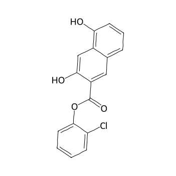 O=C(Oc1ccccc1Cl)c1cc2cccc(O)c2cc1O